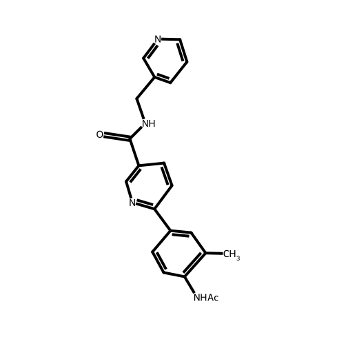 CC(=O)Nc1ccc(-c2ccc(C(=O)NCc3cccnc3)cn2)cc1C